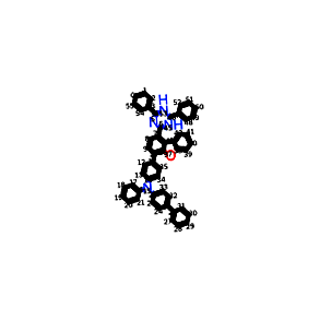 c1ccc(C2=NC(c3ccc(-c4ccc(N(c5ccccc5)c5ccc(-c6ccccc6)cc5)cc4)c4oc5ccccc5c34)NC(c3ccccc3)N2)cc1